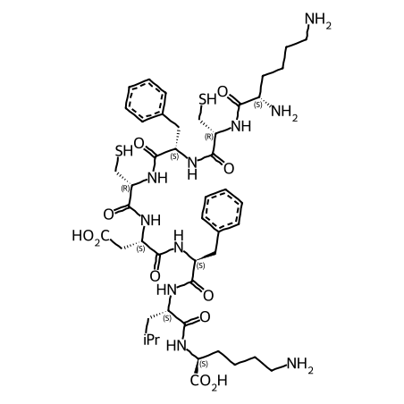 CC(C)C[C@H](NC(=O)[C@H](Cc1ccccc1)NC(=O)[C@H](CC(=O)O)NC(=O)[C@H](CS)NC(=O)[C@H](Cc1ccccc1)NC(=O)[C@H](CS)NC(=O)[C@@H](N)CCCCN)C(=O)N[C@@H](CCCCN)C(=O)O